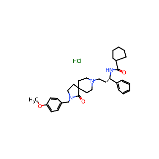 COc1ccc(CN2CCC3(CCN(CC[C@H](NC(=O)C4CCCCC4)c4ccccc4)CC3)C2=O)cc1.Cl